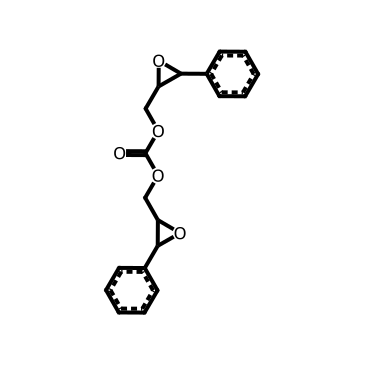 O=C(OCC1OC1c1ccccc1)OCC1OC1c1ccccc1